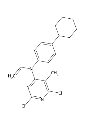 C=CN(c1ccc(C2CCCCC2)cc1)c1nc(Cl)nc(Cl)c1C